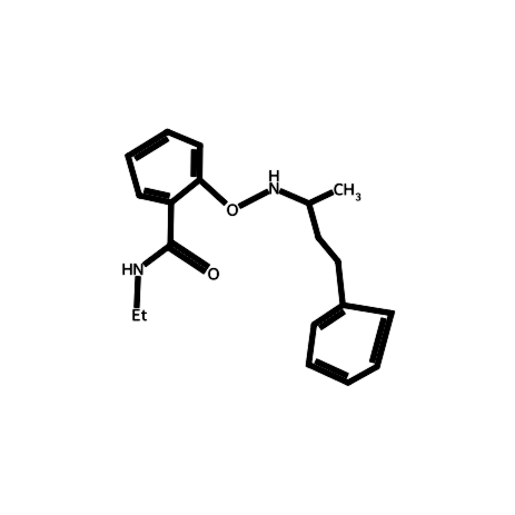 CCNC(=O)c1ccccc1ONC(C)CCc1ccccc1